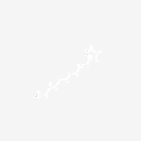 N#CCOCCCCCCOC1CCCO1